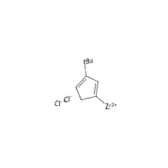 CC(C)(C)C1=CC[C]([Zr+2])=C1.[Cl-].[Cl-]